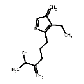 C=C1C=NC(CCCC(=C)C(C)C)=C1CC